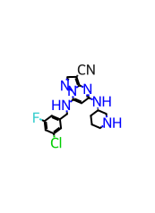 N#Cc1cnn2c(NCc3cc(F)cc(Cl)c3)cc(N[C@H]3CCCNC3)nc12